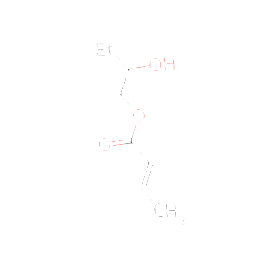 CC=CC(=O)OCC(O)CC